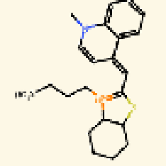 CN1C=C/C(=C\C2=[PH](CCCS(=O)(=O)O)C3CCCCC3S2)c2ccccc21